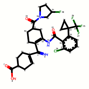 N=C(C1=CCC(C(=O)O)CC1)C1=C(NC(=O)c2c(Cl)cccc2C2(C(F)(F)F)CC2)CC(C(=O)N2CCC(F)C2)CC1